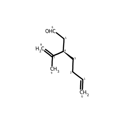 C=CCC[C@H](CC=O)C(=C)C